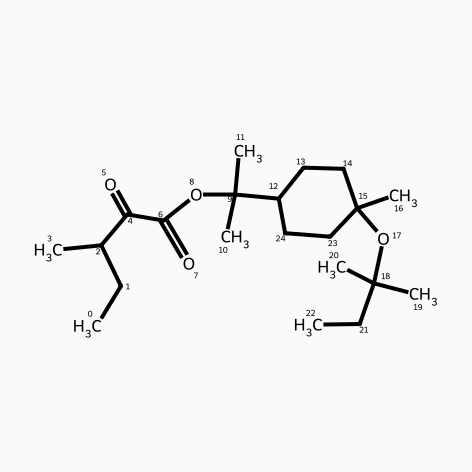 CCC(C)C(=O)C(=O)OC(C)(C)C1CCC(C)(OC(C)(C)CC)CC1